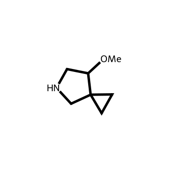 COC1CNCC12CC2